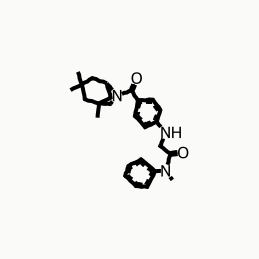 CN(C(=O)CNc1ccc(C(=O)N2CC3(C)CC2CC(C)(C)C3)cc1)c1ccccc1